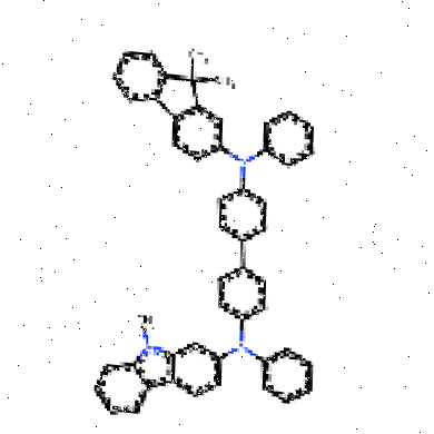 Cn1c2ccccc2c2ccc(N(c3ccccc3)c3ccc(-c4ccc(N(c5ccccc5)c5ccc6c(c5)C(C)(C)c5ccccc5-6)cc4)cc3)cc21